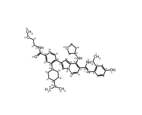 CCc1cc(O)ccc1/N=C(\N)c1cnn2cc(-c3cnc(C(=O)NCCOC)cc3N3CCC(N(C)C)CC3)cc2c1NC1CCOC1